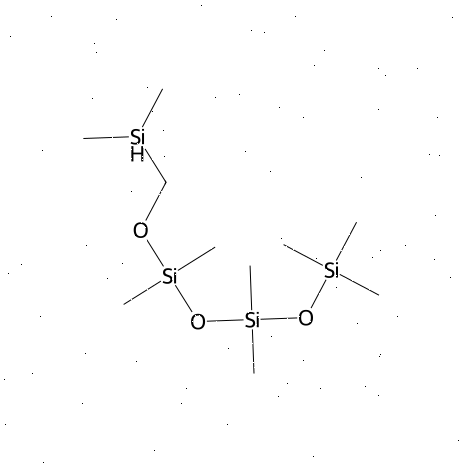 C[SiH](C)CO[Si](C)(C)O[Si](C)(C)O[Si](C)(C)C